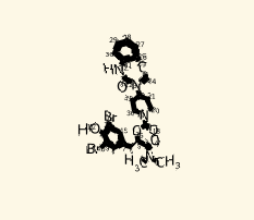 CN(C)C(=O)[C@@H](Cc1cc(Br)c(O)c(Br)c1)OC(=O)N1CCC(N2CCc3ccccc3NC2=O)CC1